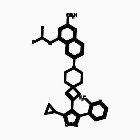 O=C(O)c1cc(OC(F)F)c2cc(N3CCC4(C=C(c5c(-c6cccnc6C(F)(F)F)noc5C5CC5)C4)CC3)ccc2n1